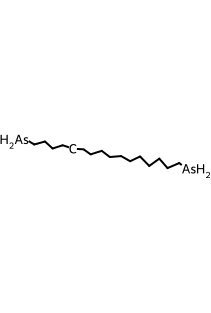 [AsH2]CCCCCCCCCCCCCCCC[AsH2]